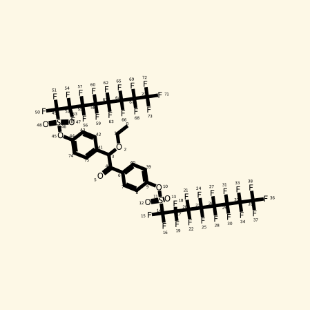 CCOC(C(=O)c1ccc(OS(=O)(=O)C(F)(F)C(F)(F)C(F)(F)C(F)(F)C(F)(F)C(F)(F)C(F)(F)C(F)(F)F)cc1)c1ccc(OS(=O)(=O)C(F)(F)C(F)(F)C(F)(F)C(F)(F)C(F)(F)C(F)(F)C(F)(F)C(F)(F)F)cc1